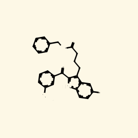 O=C(CCCc1c(C(=O)c2cccc([N+](=O)[O-])c2)[nH]c2ccc(Cl)cc12)OCc1ccccc1